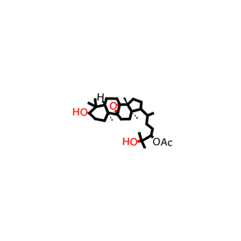 CC(=O)OC(CCC(C)C1CC[C@@]2(C)C34CC[C@H]5C(C)(C)[C@@H](O)CC[C@]5(C)C3(CC[C@]12C)O4)C(C)(C)O